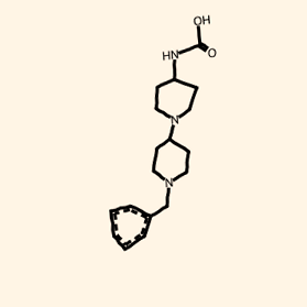 O=C(O)NC1CCN(C2CCN(Cc3ccccc3)CC2)CC1